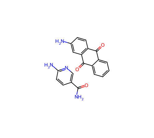 NC(=O)c1ccc(N)nc1.Nc1ccc2c(c1)C(=O)c1ccccc1C2=O